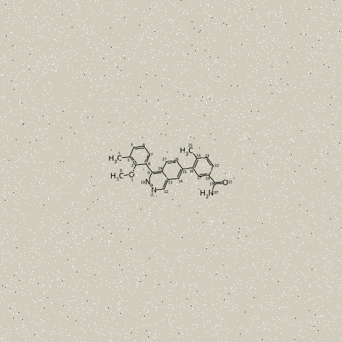 COc1c(C)cccc1-c1nncc2cc(-c3cc(C(N)=O)ccc3C)ccc12